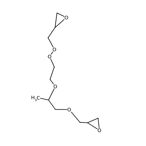 CC(COCC1CO1)OCCOOCC1CO1